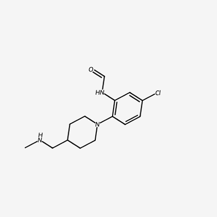 CNCC1CCN(c2ccc(Cl)cc2NC=O)CC1